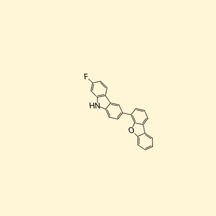 Fc1ccc2c(c1)[nH]c1ccc(-c3cccc4c3oc3ccccc34)cc12